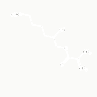 C=C(C)C(=O)OCC(S)CCCCCCCCCCCC